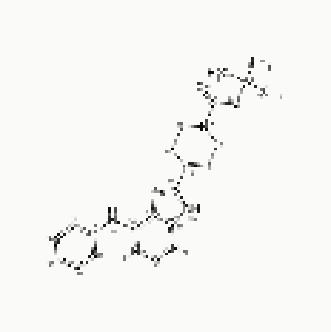 CC(C)(C)OC(=O)N1CC=C(c2cc3c(Nc4ccccc4)ncnc3[nH]2)CC1